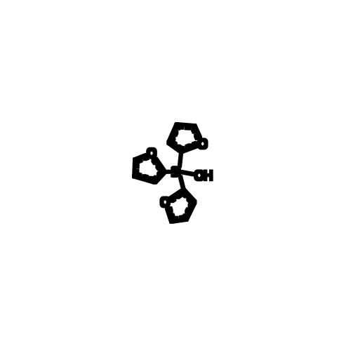 O[Si](c1ccco1)(c1ccco1)c1ccco1